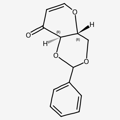 O=C1C=CO[C@@H]2COC(c3ccccc3)O[C@@H]12